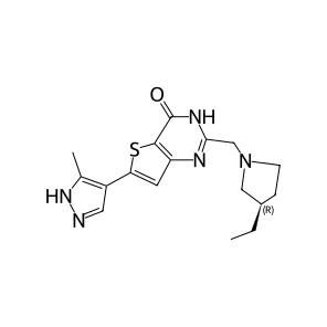 CC[C@@H]1CCN(Cc2nc3cc(-c4cn[nH]c4C)sc3c(=O)[nH]2)C1